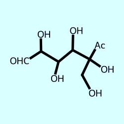 CC(=O)C(O)(CO)C(O)C(O)C(O)C=O